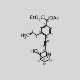 C=CCc1cc(C(OC(C)=O)C(=O)OCC)ccc1C#CC1C(O)C2CCN1CC2